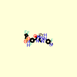 CC(C)n1c(=O)c(-c2ccc(NS(=O)(=O)CC3CC(F)(F)C3)c(F)c2)nc2cnc(N[C@@H]3CC[C@@H](N(C)C)[C@H](F)C3)nc21